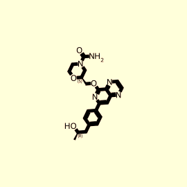 C[C@@H](O)Cc1ccc(-c2cc3nccnc3c(OC[C@@H]3CN(C(N)=O)CCO3)n2)cc1